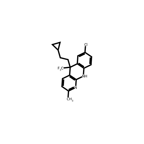 Cc1ccc2c(n1)Nc1ccc(Cl)cc1C2(CCC1CC1)C(F)(F)F